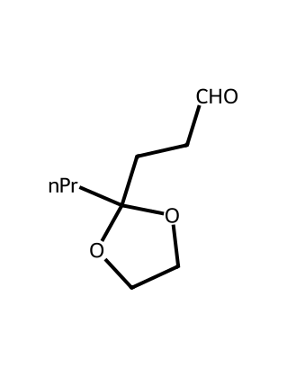 CCCC1(CCC=O)OCCO1